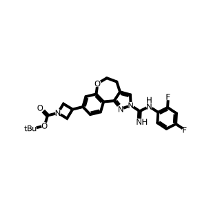 CC(C)(C)OC(=O)N1CC(c2ccc3c(c2)OCCc2cn(C(=N)Nc4ccc(F)cc4F)nc2-3)C1